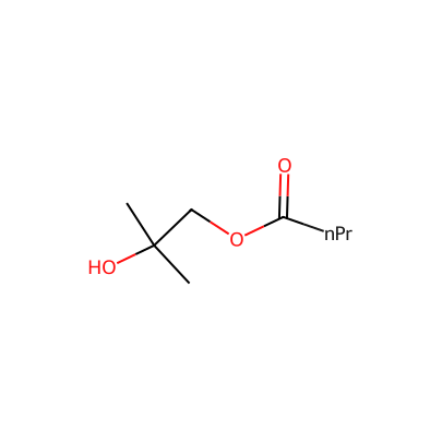 CCCC(=O)OCC(C)(C)O